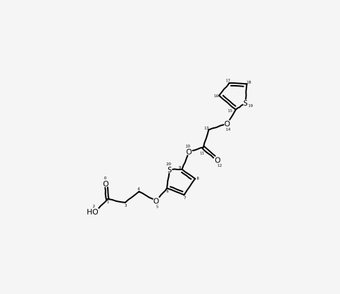 O=C(O)CCOc1ccc(OC(=O)COc2cccs2)s1